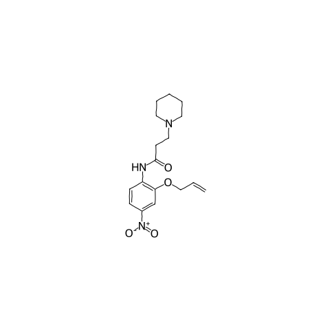 C=CCOc1cc([N+](=O)[O-])ccc1NC(=O)CCN1CCCCC1